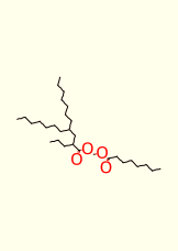 CCCCCCCC(=O)OCOC(=O)C(CCC)CC(CCCCCCC)CCCCCCC